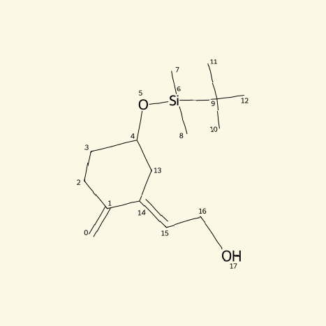 C=C1CCC(O[Si](C)(C)C(C)(C)C)CC1=CCO